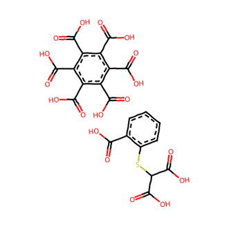 O=C(O)c1c(C(=O)O)c(C(=O)O)c(C(=O)O)c(C(=O)O)c1C(=O)O.O=C(O)c1ccccc1SC(C(=O)O)C(=O)O